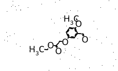 CCOC(=O)COc1ccc(OC)c(C=O)c1